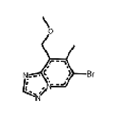 COCc1c(C)c(Br)cn2ncnc12